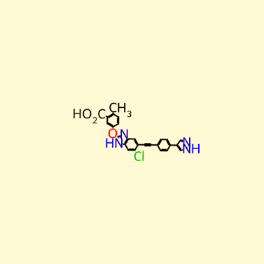 Cc1ccc(Oc2nc3cc(C#Cc4ccc(-c5cn[nH]c5)cc4)c(Cl)cc3[nH]2)cc1C(=O)O